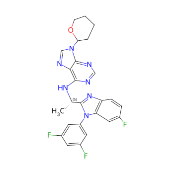 C[C@H](Nc1ncnc2c1ncn2C1CCCCO1)c1nc2ccc(F)cc2n1-c1cc(F)cc(F)c1